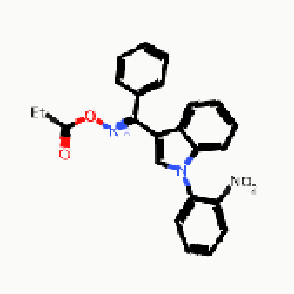 CCC(=O)O/N=C(\c1ccccc1)c1cn(-c2ccccc2[N+](=O)[O-])c2ccccc12